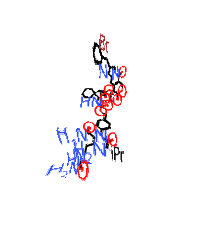 CC[C@@]1(OC(=O)CC2(CNC(=O)OCc3ccc(N(C(=O)[C@@H](N)C(C)C)[C@@H](CCCNC(N)=O)C(N)=O)cc3)CCCCC2)C(=O)OCc2c1cc1n(c2=O)Cc2cc3c(Br)cccc3nc2-1